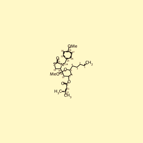 C=CCCCC1CC(OC(=O)C=C(C)C)CC(OC)(C2CSC(=O)N2Cc2ccc(OC)cc2)O1